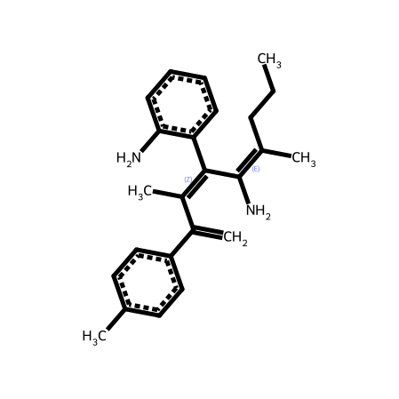 C=C(/C(C)=C(\C(N)=C(\C)CCC)c1ccccc1N)c1ccc(C)cc1